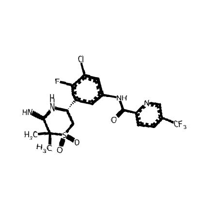 CC1(C)C(=N)N[C@H](c2cc(NC(=O)c3ccc(C(F)(F)F)cn3)cc(Cl)c2F)CS1(=O)=O